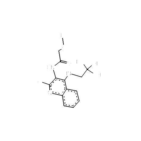 CCOCC(=O)Nc1c(Cl)nc2ccccc2c1NCC(C)(C)O